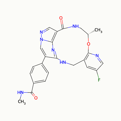 CNC(=O)c1ccc(-c2cn3ncc4c3nc2NCc2cc(F)cnc2O[C@@H](C)CNC4=O)cc1